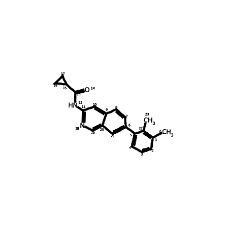 Cc1cccc(-c2ccc3cc(NC(=O)C4CC4)ncc3c2)c1C